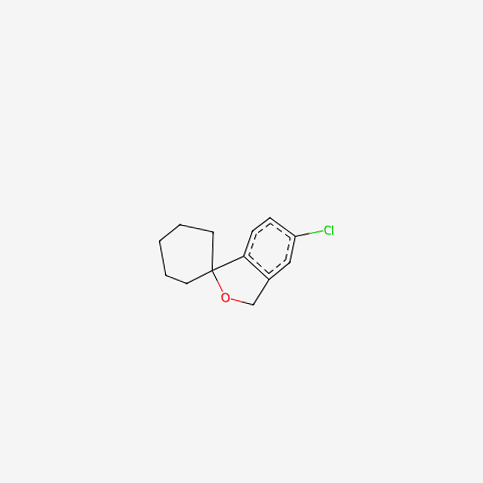 Clc1ccc2c(c1)COC21CCCCC1